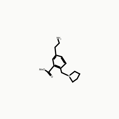 COC(=O)c1cc(CCN)ccc1CN1CCCC1